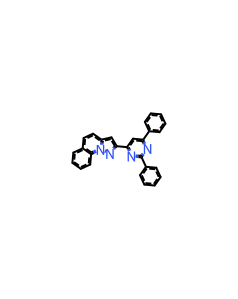 c1ccc(-c2cc(-c3cc4ccc5ccccc5n4n3)nc(-c3ccccc3)n2)cc1